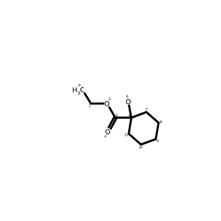 CCOC(=O)C1([O])CCCCC1